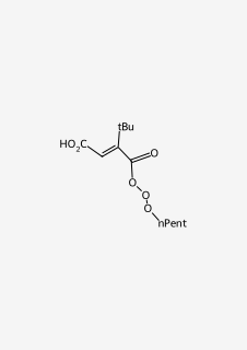 CCCCCOOOC(=O)C(=CC(=O)O)C(C)(C)C